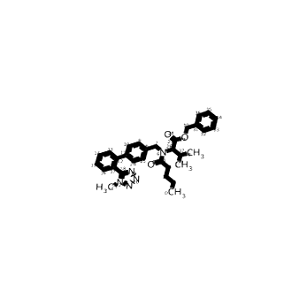 CCCCC(=O)N(Cc1ccc(-c2ccccc2-c2nnnn2C)cc1)C(C(=O)OCc1ccccc1)C(C)C